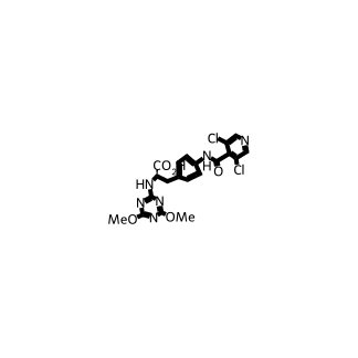 COc1nc(N[C@@H](Cc2ccc(NC(=O)c3c(Cl)cncc3Cl)cc2)C(=O)O)nc(OC)n1